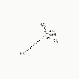 CCCCCCCCCCCCCC[C@@H](OCCCC)[C@H](OCCCC)[C@H](CO)N=[N+]=[N-]